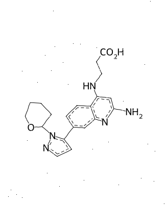 Nc1cc(NCCC(=O)O)c2ccc(-c3ccnn3C3CCCCO3)cc2n1